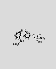 CC(C)CC(C)(N)COc1ccc2c(c1)COc1cncc(NC(=O)O)c1-2